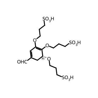 O=CC1=CC(OCCCS(=O)(=O)O)=C(OCCCS(=O)(=O)O)[C@H](OCCCS(=O)(=O)O)C1